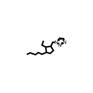 CCCCCC1CCC(Cn2ccnn2)C1CC